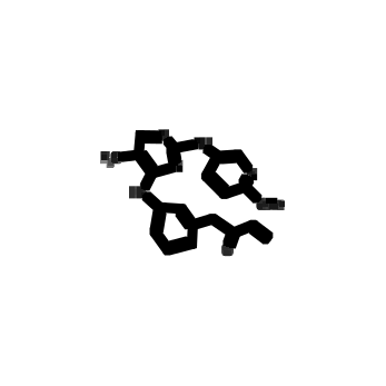 C=CC(=O)Cc1cccc(Nc2nc(Nc3ccc(OC)nc3)ncc2C(F)(F)F)c1